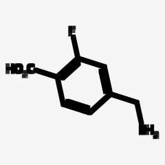 BCc1ccc(C(=O)O)c(F)c1